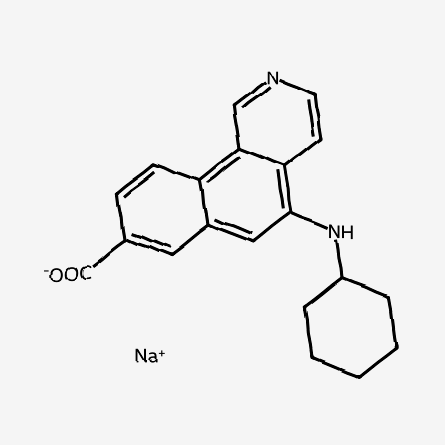 O=C([O-])c1ccc2c(c1)cc(NC1CCCCC1)c1ccncc12.[Na+]